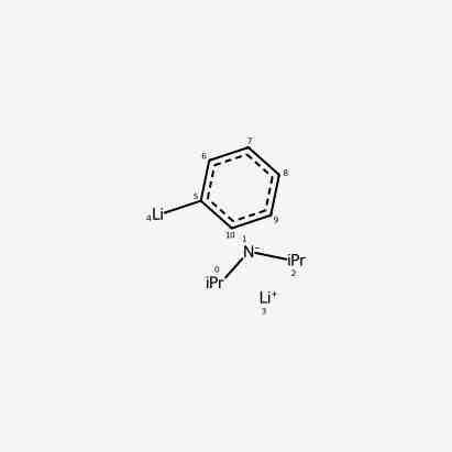 CC(C)[N-]C(C)C.[Li+].[Li][c]1ccccc1